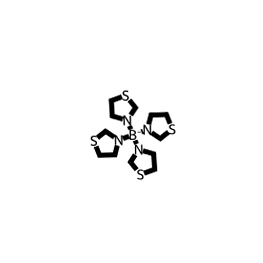 C1CN([B-](N2CCSC2)(N2CCSC2)N2CCSC2)CS1